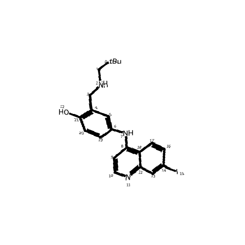 CC(C)(C)CNCc1cc(Nc2ccnc3cc(I)ccc23)ccc1O